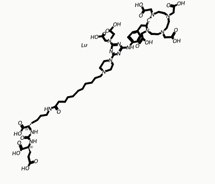 O=C(O)CC[C@H](NC(=O)N[C@@H](CCCCNC(=O)CCCCCCCCCCN1CCN(c2nc(Nc3ccc(CC4CN(CC(=O)O)CCN(CC(=O)O)CCN(CC(=O)O)CCN4CC(=O)O)cc3)nc(N(CC(=O)O)CC(=O)O)n2)CC1)C(=O)O)C(=O)O.[Lu]